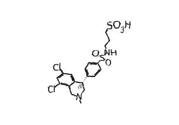 CN1Cc2c(Cl)cc(Cl)cc2[C@H](c2ccc(S(=O)(=O)NCCCS(=O)(=O)O)cc2)C1